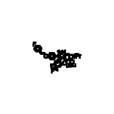 Cc1nc(C)c(C(OC(C)(C)C)C(=O)OC(C)C)c(N2CCC3(CC2)CC3(F)F)c1-c1ccc(OCCc2ccc(F)cc2)cc1